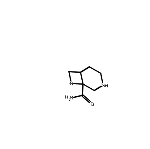 NC(=O)C12CNCCC1C[N]2